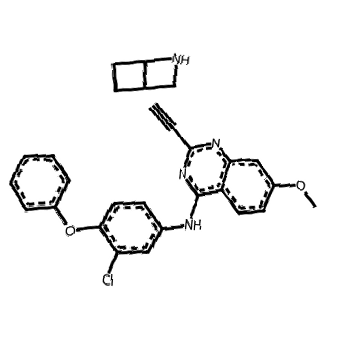 C#Cc1nc(Nc2ccc(Oc3ccccc3)c(Cl)c2)c2ccc(OC)cc2n1.C1CC2NCC12